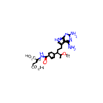 CCOC(C)C(CCc1c[nH]c2nc(N)nc(N)c12)c1ccc(C(=O)N[C@@H](CCC(=O)O)C(=O)O)cc1